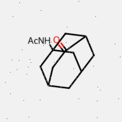 CC(=O)NC12CC3CC(=O)C(CC(C3)C1)C2